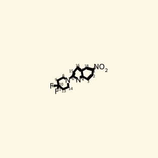 O=[N+]([O-])c1ccc2nc(N3CCC(F)(F)CC3)ccc2c1